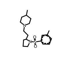 Cc1cccc(S(=O)(=O)N2CCCC2CCN2CCC(C)CC2)c1